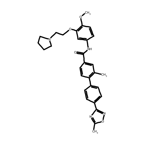 COc1ccc(NC(=O)c2ccc(-c3ccc(-c4noc(C)n4)cc3)c(C)c2)cc1OCCN1CCCC1